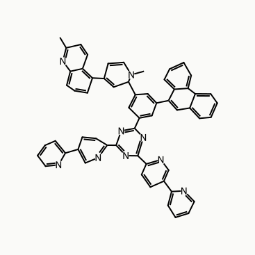 Cc1ccc2c(C3=CC(c4cc(-c5nc(-c6ccc(-c7ccccn7)cn6)nc(-c6ccc(-c7ccccn7)cn6)n5)cc(-c5cc6ccccc6c6ccccc56)c4)N(C)C=C3)cccc2n1